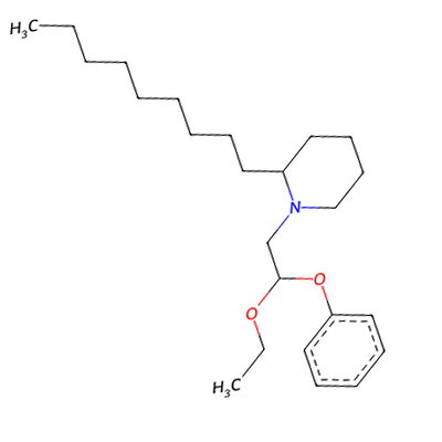 CCCCCCCCCC1CCCCN1CC(OCC)Oc1ccccc1